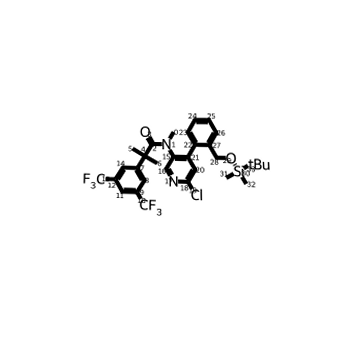 CN(C(=O)C(C)(C)c1cc(C(F)(F)F)cc(C(F)(F)F)c1)c1cnc(Cl)cc1-c1ccccc1CO[Si](C)(C)C(C)(C)C